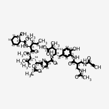 C#CC(=O)NCC(CNC(C)=O)C(=O)Nc1cc(C[C@@H](CC(C)C(=O)O)NC(=O)c2csc([C@@H](C[C@H](C(C)C)N(C)C(=O)[C@@H](NC(=O)[C@H]3CCCCN3C)[C@@H](C)CC)OC(C)=O)n2)ccc1O